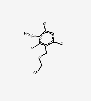 O=C(O)c1c(Cl)cc(Cl)c(COCC(F)(F)F)c1Cl